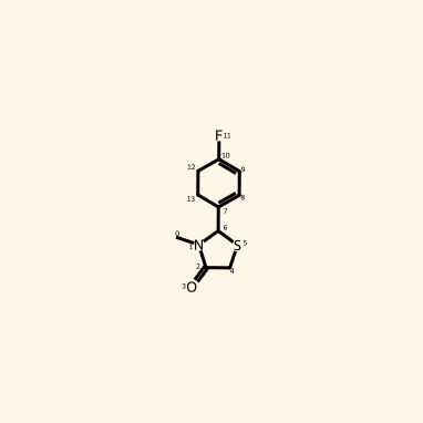 CN1C(=O)CSC1C1=CC=C(F)CC1